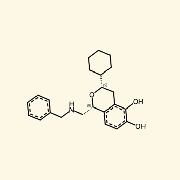 Oc1ccc2c(c1O)C[C@@H](C1CCCCC1)O[C@H]2CNCc1ccccc1